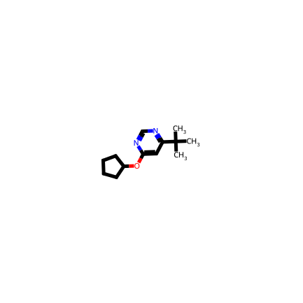 CC(C)(C)c1cc(OC2CCCC2)ncn1